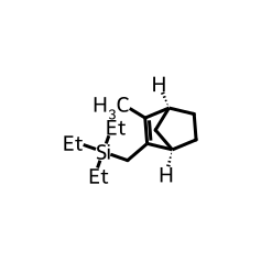 CC[Si](CC)(CC)CC1=C(C)[C@H]2CC[C@@H]1C2